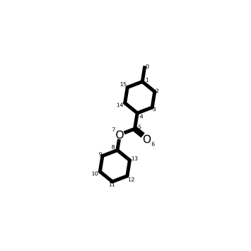 CC1CCC(C(=O)OC2CCCCC2)CC1